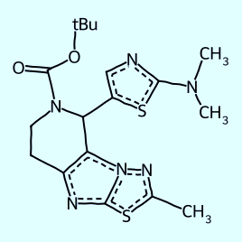 Cc1nn2c3c(nc2s1)CCN(C(=O)OC(C)(C)C)C3c1cnc(N(C)C)s1